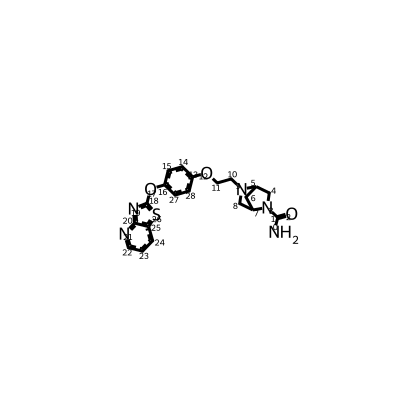 NC(=O)N1CC2CC1CN2CCOc1ccc(Oc2nc3ncccc3s2)cc1